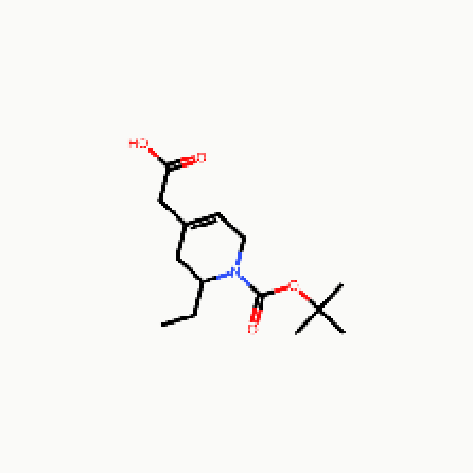 CCC1CC(CC(=O)O)=CCN1C(=O)OC(C)(C)C